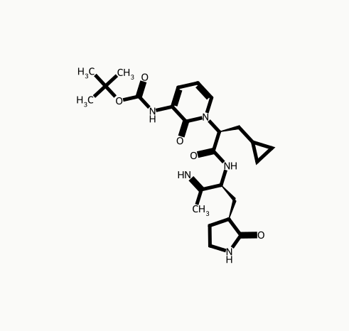 CC(=N)[C@H](C[C@@H]1CCNC1=O)NC(=O)[C@H](CC1CC1)n1cccc(NC(=O)OC(C)(C)C)c1=O